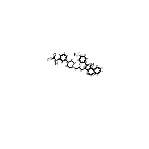 CC(C)C(=O)Nc1cccc(C2CCN(CCCc3c(-c4ccc(C(F)(F)F)cc4)[nH]c4c3ccc3ccccc34)CC2)c1